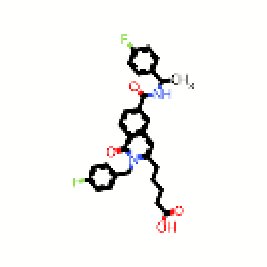 CC(NC(=O)c1ccc2c(=O)n(Cc3ccc(F)cc3)c(CCCCC(=O)O)cc2c1)c1ccc(F)cc1